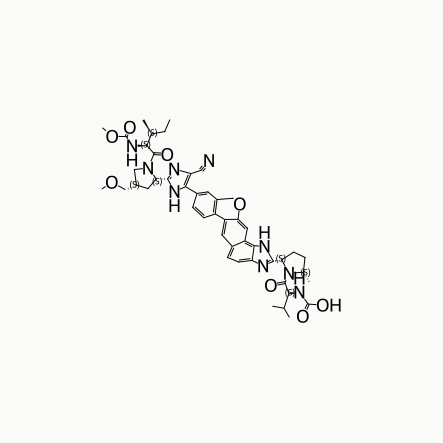 CC[C@H](C)[C@H](NC(=O)OC)C(=O)N1C[C@@H](COC)C[C@H]1c1nc(C#N)c(-c2ccc3c(c2)COc2cc4c(ccc5nc([C@@H]6CC[C@H](C)N6C(=O)[C@@H](NC(=O)O)C(C)C)[nH]c54)cc2-3)[nH]1